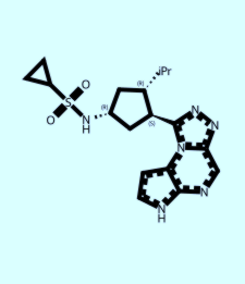 CC(C)[C@H]1C[C@@H](NS(=O)(=O)C2CC2)C[C@@H]1c1nnc2cnc3[nH]ccc3n12